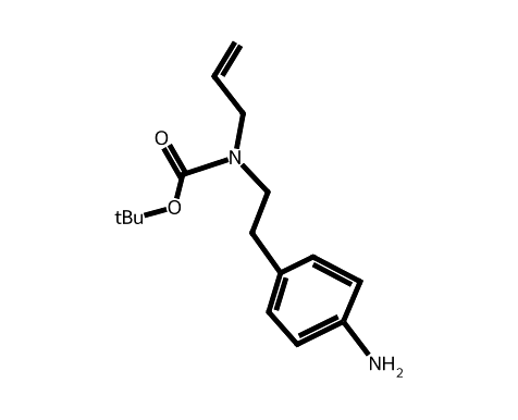 C=CCN(CCc1ccc(N)cc1)C(=O)OC(C)(C)C